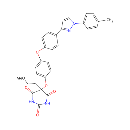 COCCC1(Oc2ccc(Oc3ccc(-c4ccn(-c5ccc(C)cc5)n4)cc3)cc2)C(=O)NC(=O)NC1=O